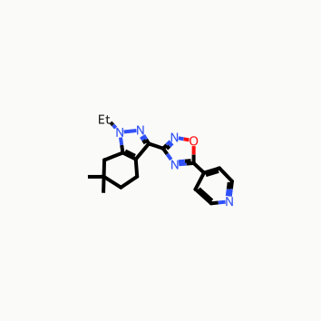 CCn1nc(-c2noc(-c3ccncc3)n2)c2c1CC(C)(C)CC2